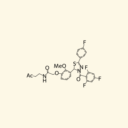 COc1c(OCC(=O)NCCC(C)=O)cccc1C1SC(c2ccc(F)cc2)=NN1C(=O)c1c(F)cc(F)cc1F